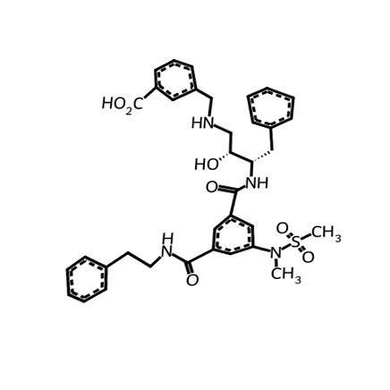 CN(c1cc(C(=O)NCCc2ccccc2)cc(C(=O)N[C@@H](Cc2ccccc2)[C@H](O)CNCc2cccc(C(=O)O)c2)c1)S(C)(=O)=O